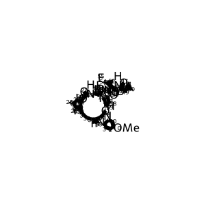 COc1ccc2nc3c(nc2c1)O[C@H]1CN(C(=O)[C@H](C(C)(C)C)NC(=O)O[C@@H]2C[C@H](C)[C@H](C)[C@H]2CCCCC3(F)F)[C@H](C(=O)N[C@]2(C(=O)NS(=O)(=O)C3(C)CC3)C[C@H]2C(F)F)[C@@H]1C